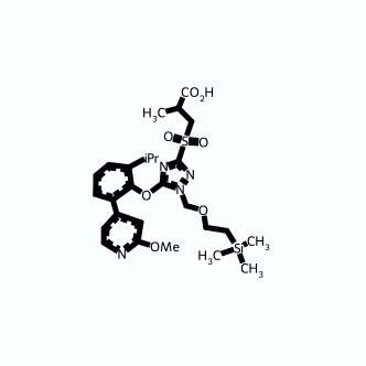 COc1cc(-c2cccc(C(C)C)c2Oc2nc(S(=O)(=O)CC(C)C(=O)O)nn2COCC[Si](C)(C)C)ccn1